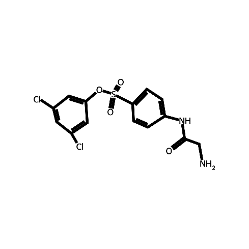 NCC(=O)Nc1ccc(S(=O)(=O)Oc2cc(Cl)cc(Cl)c2)cc1